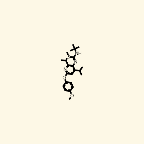 COc1ccc(Oc2cc(C(C)C)c(N=C(NC(C)(C)C)SC)c(C(C)C)n2)cc1